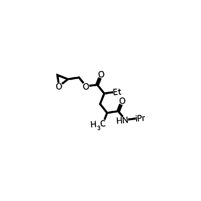 CCC(CC(C)C(=O)NC(C)C)C(=O)OCC1CO1